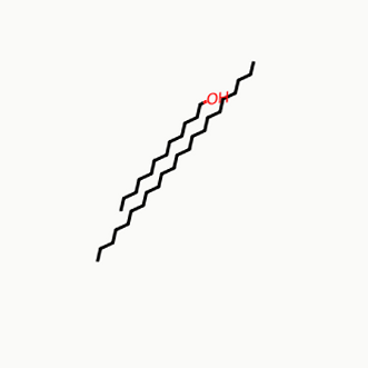 CCCCCCCCCCCCCCCCCCCCCC.CCCCCCCCCCCCO